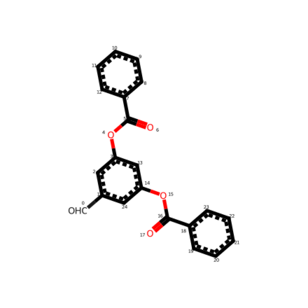 O=Cc1cc(OC(=O)c2ccccc2)cc(OC(=O)c2ccccc2)c1